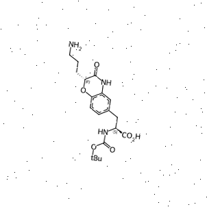 CC(C)(C)OC(=O)N[C@@H](Cc1ccc2c(c1)NC(=O)[C@@H](CCCN)O2)C(=O)O